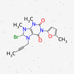 CC#CCN1c2c(n(C)c(=O)n(-c3ccc(C)o3)c2=O)N(C)C1Br